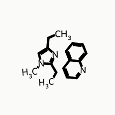 CCc1cn(C)c(CC)n1.c1ccc2ncccc2c1